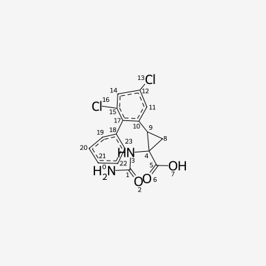 NC(=O)NC1(C(=O)O)CC1c1cc(Cl)cc(Cl)c1-c1ccccc1